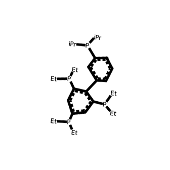 CCP(CC)c1cc(P(CC)CC)c(-c2cc[c]c(P(C(C)C)C(C)C)c2)c(P(CC)CC)c1